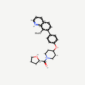 CNc1c(-c2ccc(OC3CCN(C(=O)[C@H]4CCCO4)CC3)cc2)ccc2cccnc12